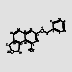 Brc1cc(OCc2ccccc2)cc2ccc3c(c12)COC3